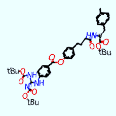 Cc1ccc(C[C@H](NC(=O)CCCc2ccc(OC(=O)c3ccc(N/C(=N\C(=O)OC(C)(C)C)NC(=O)OC(C)(C)C)cc3)cc2)C(=O)OC(C)(C)C)cc1